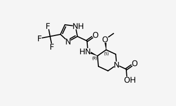 CO[C@H]1CN(C(=O)O)CC[C@H]1NC(=O)c1nc(C(F)(F)F)c[nH]1